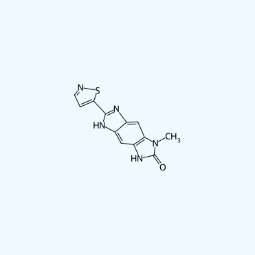 Cn1c(=O)[nH]c2cc3[nH]c(-c4ccns4)nc3cc21